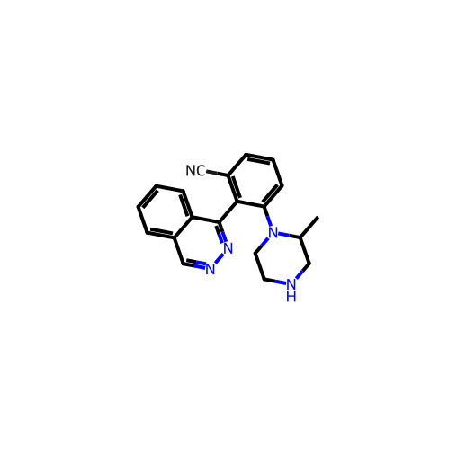 CC1CNCCN1c1cccc(C#N)c1-c1nncc2ccccc12